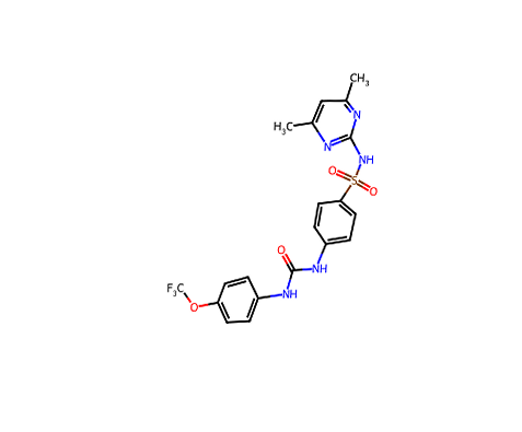 Cc1cc(C)nc(NS(=O)(=O)c2ccc(NC(=O)Nc3ccc(OC(F)(F)F)cc3)cc2)n1